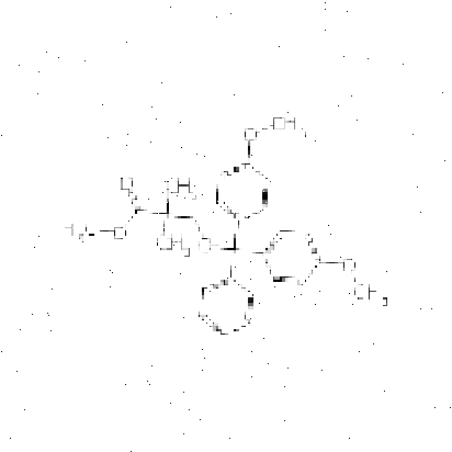 COC(=O)C(C)(C)COC(c1ccccc1)(c1ccc(OC)cc1)c1ccc(OC)cc1